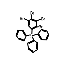 Brc1cc([Si](c2ccccc2)(c2ccccc2)c2ccccc2)c(Br)c(Br)c1Br